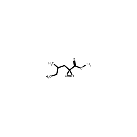 CCC(C)CC1(C(=O)OC)OO1